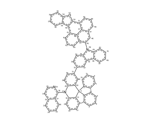 c1ccc(S2(c3ccccc3)c3ccccc3N(c3nccc4ccccc34)c3ccc(-c4ccc5c(c4)c4ccccc4n5-c4cc5cccc6c7oc8ccccc8c7c7cccc4c7c56)cc32)cc1